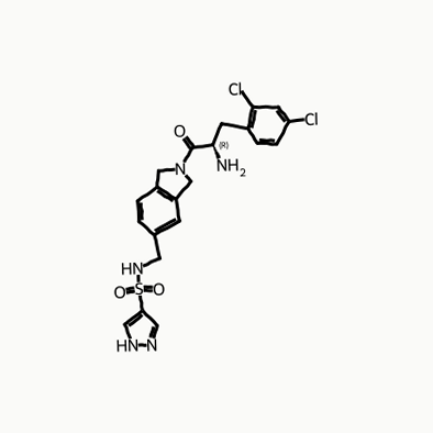 N[C@H](Cc1ccc(Cl)cc1Cl)C(=O)N1Cc2ccc(CNS(=O)(=O)c3cn[nH]c3)cc2C1